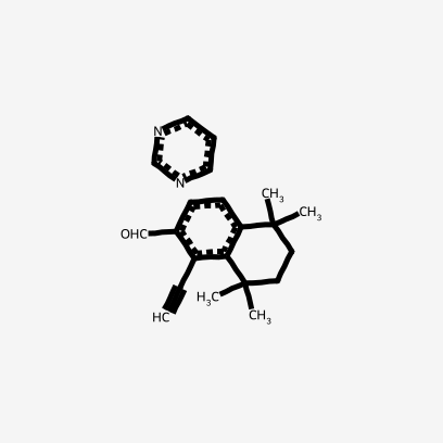 C#Cc1c(C=O)ccc2c1C(C)(C)CCC2(C)C.c1cncnc1